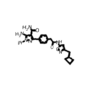 CC(C)n1nc(-c2ccc(CC(=O)Nc3cc(CC4CCC4)no3)cc2)c(C(N)=O)c1N